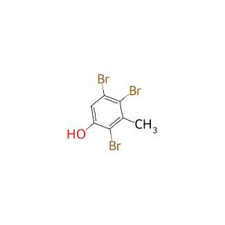 Cc1c(Br)c(O)cc(Br)c1Br